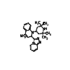 CC1(C)CC(N2c3ccccc3C=CC2c2nnc3ccccn23)CC(C)(C)N1.N